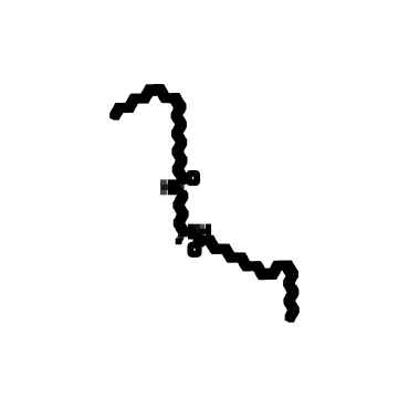 CCCCC/C=C\C/C=C\CCCCCCCC(=O)NCCCC[C@@H](C)NC(=O)CCCCCCC/C=C\C/C=C\CCCCC